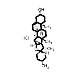 C[C@@H]1CC[C@@]2(NC1)O[C@H]1C[C@H]3[C@@H]4CC=C5C[C@@H](O)CC[C@]5(C)[C@H]4CC[C@]3(C)[C@H]1[C@@H]2C.Cl